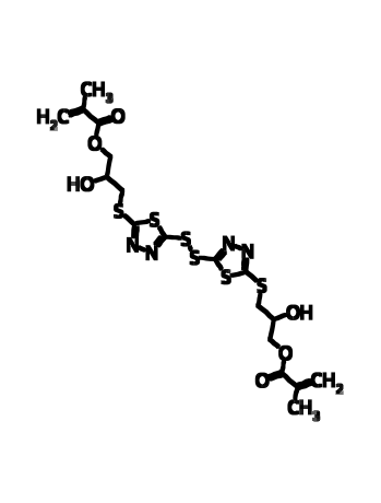 C=C(C)C(=O)OCC(O)CSc1nnc(SSc2nnc(SCC(O)COC(=O)C(=C)C)s2)s1